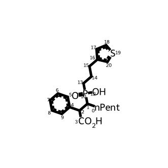 CCCCCC(C(C(=O)O)c1ccccc1)P(=O)(O)CCCc1ccsc1